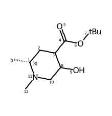 C[C@@H]1CC(C(=O)OC(C)(C)C)C(O)CN1C